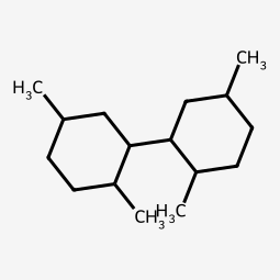 CC1CCC(C)C(C2CC(C)CCC2C)C1